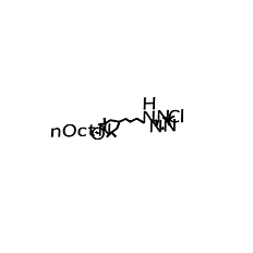 CCCCCCCCON1C(C)(C)CC(CCCCNc2ncnc(Cl)n2)CC1(C)C